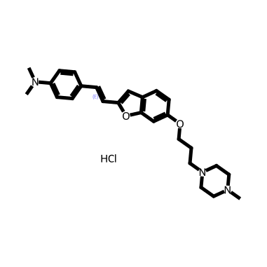 CN1CCN(CCCOc2ccc3cc(/C=C/c4ccc(N(C)C)cc4)oc3c2)CC1.Cl